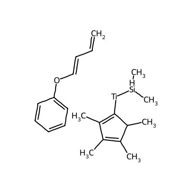 C=CC=COc1ccccc1.CC1=C(C)C(C)[C]([Ti][SiH](C)C)=C1C